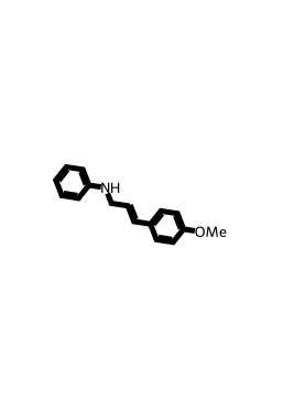 COc1ccc(/C=C/CNc2ccccc2)cc1